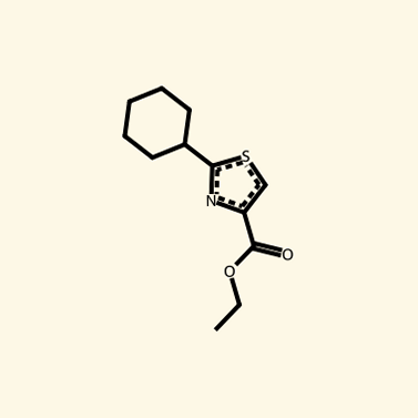 CCOC(=O)c1csc(C2CCCCC2)n1